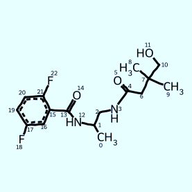 CC(CNC(=O)CC(C)(C)CO)NC(=O)c1cc(F)ccc1F